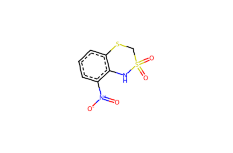 O=[N+]([O-])c1cccc2c1NS(=O)(=O)CS2